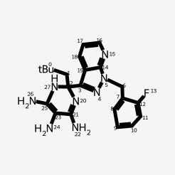 CC(C)(C)CC1(c2nn(Cc3ccccc3F)c3ncccc23)N=C(N)C(N)=C(N)N1